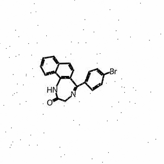 O=C1CN=C(c2ccc(Br)cc2)c2ccc3ccccc3c2N1